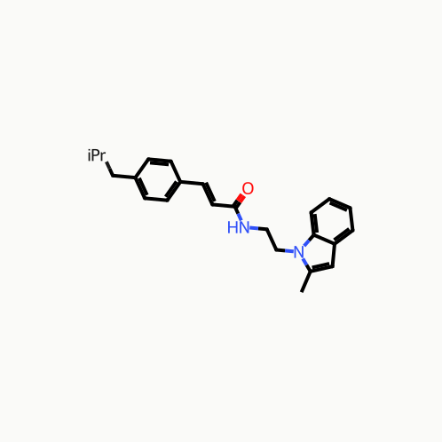 Cc1cc2ccccc2n1CCNC(=O)C=Cc1ccc(CC(C)C)cc1